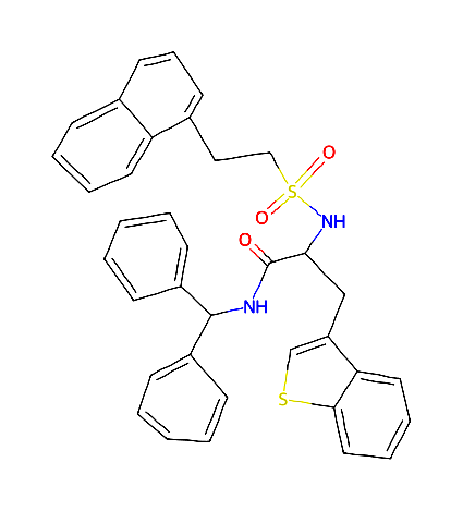 O=C(NC(c1ccccc1)c1ccccc1)C(Cc1csc2ccccc12)NS(=O)(=O)CCc1cccc2ccccc12